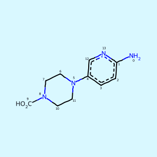 Nc1ccc(N2CCN(C(=O)O)CC2)cn1